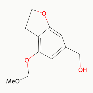 COCOc1cc(CO)cc2c1CCO2